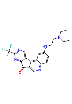 CCN(CC)CCNc1ccc2ncc3c(c2c1)-c1cnc(C(F)(F)F)nc1C3=O